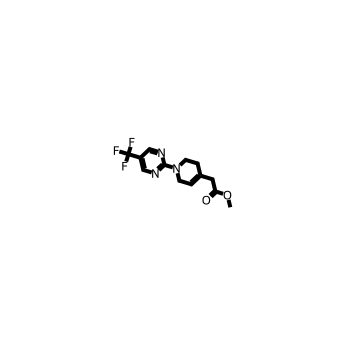 COC(=O)CC1=CCN(c2ncc(C(F)(F)F)cn2)CC1